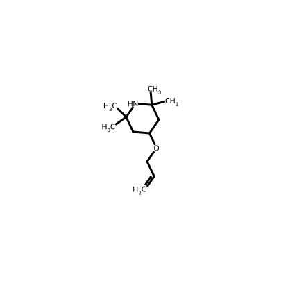 C=CCOC1CC(C)(C)NC(C)(C)C1